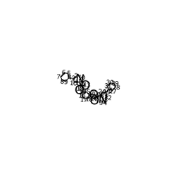 Cn1cc(-c2ccccc2)cc1C(=O)Oc1cccc(OC(=O)c2cc(-c3ccccc3)cn2C)c1